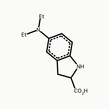 CCN(CC)c1ccc2c(c1)CC(C(=O)O)N2